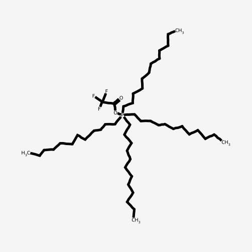 CCCCCCCCCCCCP(CCCCCCCCCCCC)(CCCCCCCCCCCC)(CCCCCCCCCCCC)OC(=O)C(F)(F)F